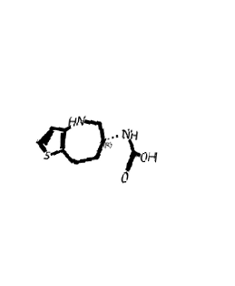 O=C(O)N[C@@H]1CCc2sccc2NC1